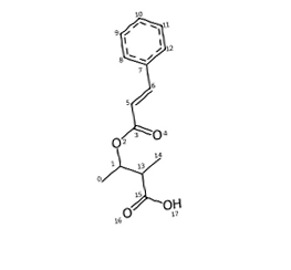 CC(OC(=O)C=Cc1ccccc1)C(C)C(=O)O